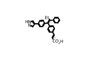 CC/C(=C(/c1ccc(/C=C/C(=O)O)cc1)c1ccc(-c2cn[nH]c2)cc1)c1ccccc1